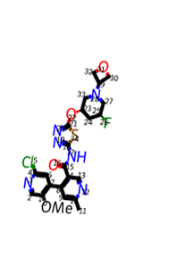 COc1cnc(Cl)cc1-c1cc(C)ncc1C(=O)Nc1nnc(O[C@@H]2C[C@H](F)CN(C3COC3)C2)s1